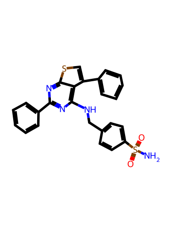 NS(=O)(=O)c1ccc(CNc2nc(-c3ccccc3)nc3scc(-c4ccccc4)c23)cc1